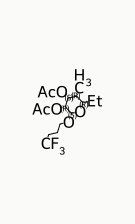 CC[C@H]1O[C@H](OCCCC(F)(F)F)[C@H](OC(C)=O)[C@@H](OC(C)=O)[C@@H]1C